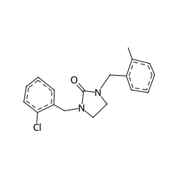 Cc1ccccc1CN1CCN(Cc2ccccc2Cl)C1=O